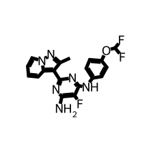 Cc1nn2ccccc2c1-c1nc(N)c(F)c(Nc2ccc(OC(F)F)cc2)n1